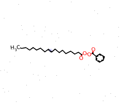 CCCCCCCC/C=C/CCCCCCCC(=O)OOC(=O)c1ccccc1